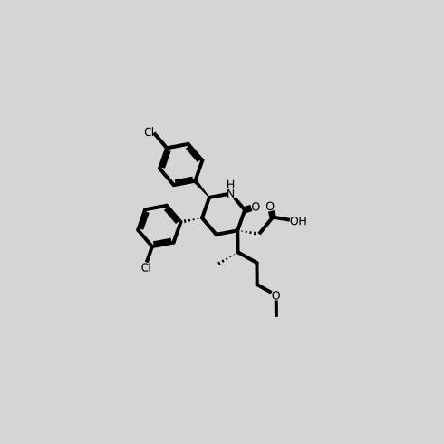 COCC[C@H](C)[C@@]1(CC(=O)O)C[C@H](c2cccc(Cl)c2)[C@@H](c2ccc(Cl)cc2)NC1=O